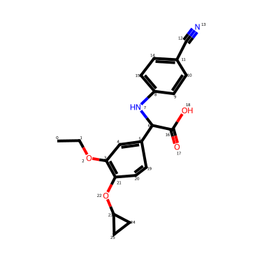 CCOc1cc(C(Nc2ccc(C#N)cc2)C(=O)O)ccc1OC1CC1